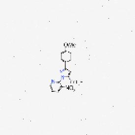 CCOC(=O)c1cc(-c2ccc(OC)cc2)nn1-c1ncccc1[N+](=O)[O-]